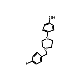 Oc1ccc(N2CCN(Cc3ccc(F)cc3)CC2)cc1